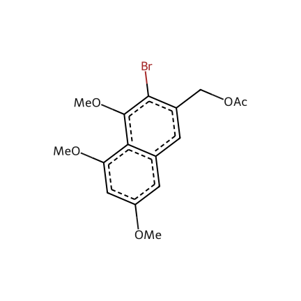 COc1cc(OC)c2c(OC)c(Br)c(COC(C)=O)cc2c1